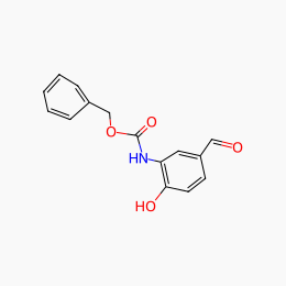 O=Cc1ccc(O)c(NC(=O)OCc2ccccc2)c1